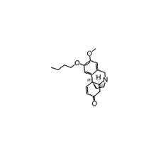 CCCCOc1cc2c(cc1OC)CN1CC[C@@]23C=CC(=O)C[C@H]13